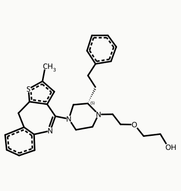 Cc1cc2c(s1)Cc1ccccc1N=C2N1CCN(CCOCCO)[C@@H](CCc2ccccc2)C1